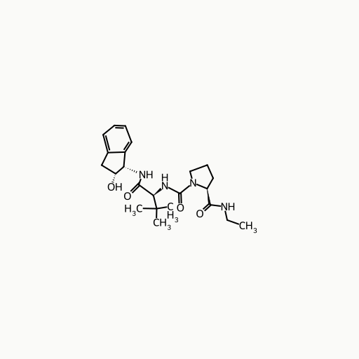 CCNC(=O)[C@@H]1CCCN1C(=O)N[C@H](C(=O)N[C@H]1c2ccccc2C[C@H]1O)C(C)(C)C